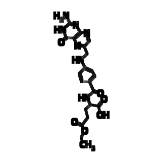 CCOC(=O)CCC(NC(=O)c1ccc(NCc2cnc3nc(N)[nH]c(=O)c3n2)cc1)C(=O)O